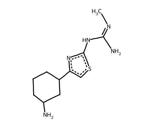 C/N=C(/N)Nc1nc(C2CCCC(N)C2)cs1